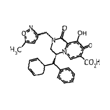 Cc1cc(CN2C[C@H](C(c3ccccc3)C3C=CC=CC3)n3cc(C(=O)O)c(=O)c(O)c3C2=O)no1